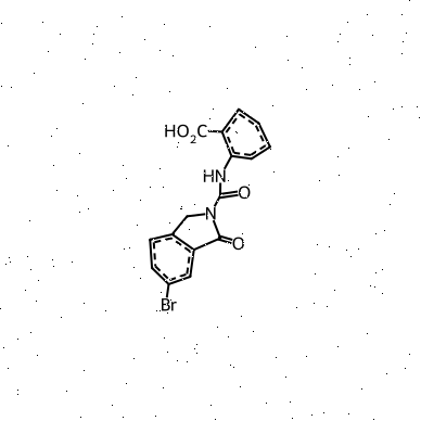 O=C(O)c1ccccc1NC(=O)N1Cc2ccc(Br)cc2C1=O